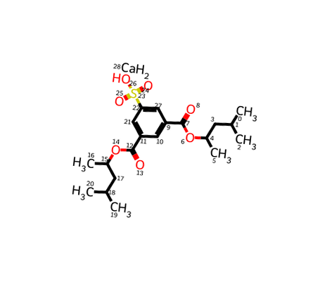 CC(C)CC(C)OC(=O)c1cc(C(=O)OC(C)CC(C)C)cc(S(=O)(=O)O)c1.[CaH2]